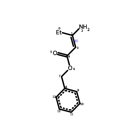 CC/C(N)=C\C(=O)OCc1ccccc1